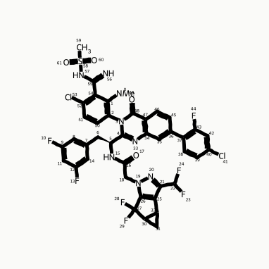 CNc1c(-n2c([C@H](Cc3cc(F)cc(F)c3)NC(=O)Cn3nc(C(F)F)c4c3C(F)(F)C3CC43)nc3cc(-c4ccc(Cl)cc4F)ccc3c2=O)ccc(Cl)c1C(=N)NS(C)(=O)=O